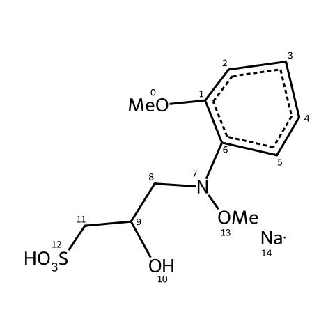 COc1ccccc1N(CC(O)CS(=O)(=O)O)OC.[Na]